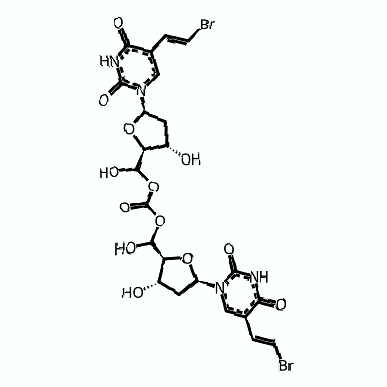 O=C(OC(O)[C@H]1O[C@@H](n2cc(/C=C/Br)c(=O)[nH]c2=O)C[C@@H]1O)OC(O)[C@H]1O[C@@H](n2cc(/C=C/Br)c(=O)[nH]c2=O)C[C@@H]1O